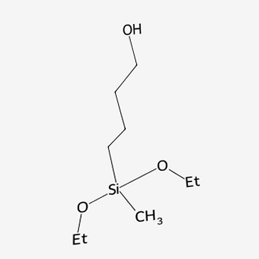 CCO[Si](C)(CCCCO)OCC